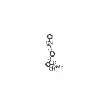 COC(=O)c1c(C)cccc1COc1cccc(OCc2coc(-c3ccccc3)n2)c1